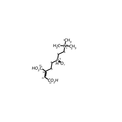 C[N+](C)(C)CC[PH](=O)CC/C(=C\C(=O)O)C(=O)O